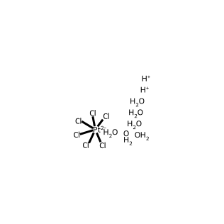 O.O.O.O.O.O.[Cl][Pt-2]([Cl])([Cl])([Cl])([Cl])[Cl].[H+].[H+]